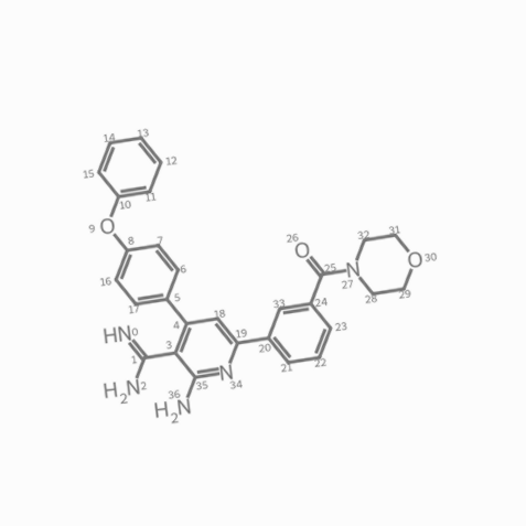 N=C(N)c1c(-c2ccc(Oc3ccccc3)cc2)cc(-c2cccc(C(=O)N3CCOCC3)c2)nc1N